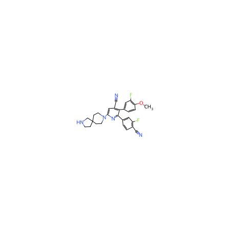 COc1ccc(-c2c(C#N)cc(N3CCC4(CCNC4)CC3)nc2-c2ccc(C#N)c(F)c2)cc1F